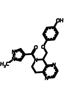 Cn1cc(C(=O)N2CCc3nccnc3C2COc2ccc(O)cc2)cn1